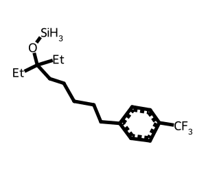 CCC(CC)(CCCCCc1ccc(C(F)(F)F)cc1)O[SiH3]